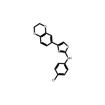 Clc1ccc(Nc2nc(-c3ccc4c(c3)OCCO4)cs2)cc1